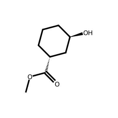 COC(=O)[C@@H]1CCC[C@@H](O)C1